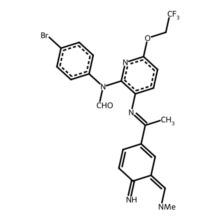 CN/C=C1C=C(/C(C)=N/c2ccc(OCC(F)(F)F)nc2N(C=O)c2ccc(Br)cc2)C=CC/1=N